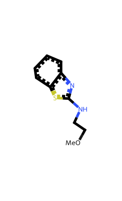 COCCNc1nc2ccccc2s1